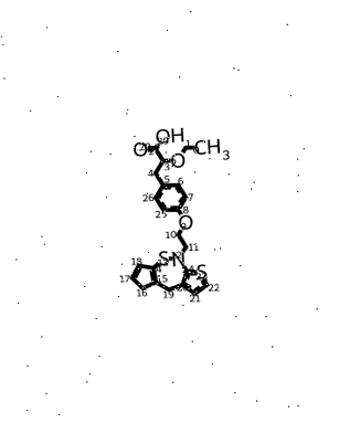 CCOC(Cc1ccc(OCCN2SC3=C(CC=C3)Cc3ccsc32)cc1)C(=O)O